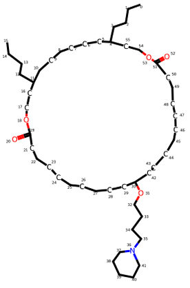 CCCCC1CCCCCCC(CCCC)CCOC(=O)CCCCCCCCCC(OCCCCN2CCCCC2)CCCCCCCCCC(=O)OCC1